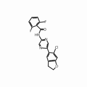 O=C(Nc1cnc(-c2cc3c(cc2Cl)OCC3)cn1)c1c(F)cccc1F